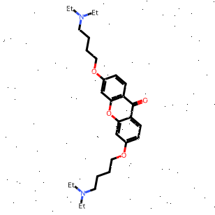 CCN(CC)CCCCOc1ccc2c(=O)c3ccc(OCCCCN(CC)CC)cc3oc2c1